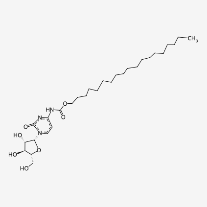 CCCCCCCCCCCCCCCCCCCOC(=O)Nc1ccn([C@@H]2O[C@H](CO)[C@@H](O)[C@@H]2O)c(=O)n1